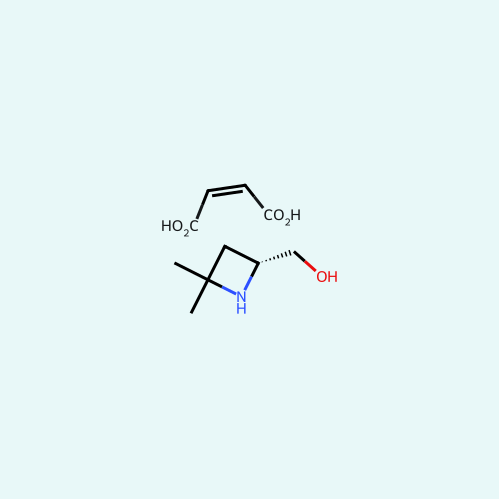 CC1(C)C[C@H](CO)N1.O=C(O)/C=C\C(=O)O